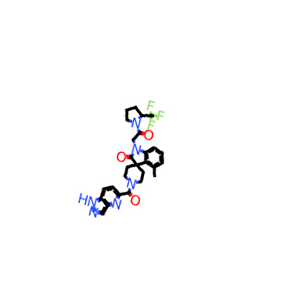 Cc1cccc2c1C1(CCN(C(=O)c3ccc4[nH]ncc4n3)CC1)C(=O)N2CC(=O)N1CCCC1C(F)(F)F